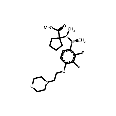 C=[N+](c1ccc(OCCN2CCOCC2)c(F)c1F)N(C)C1(C(=O)OC)CCCC1